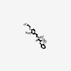 C#CCOc1ccc(CCNC(=S)[C@H](Cc2ccccc2)OCC)cc1OC